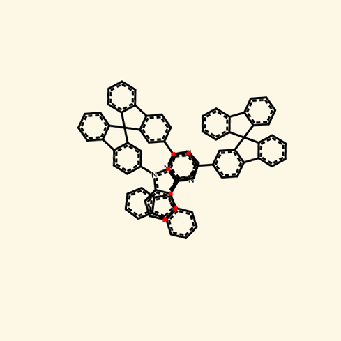 c1ccc2c(c1)-c1ccccc1C21c2ccccc2-c2ccc(-c3nc(-c4ccc5c(c4)C4(c6ccccc6-5)c5ccccc5-c5ccc(-n6c7ccccc7c7ccccc76)cc54)nc(-n4c5ccccc5c5ccccc54)n3)cc21